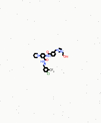 O=C(Nc1ccc(N2CCCCC2)cc1C(=O)N/N=C/c1ccc(Cl)c(C(F)(F)F)c1)c1cccc(Cn2cc[n+](CCO)c2)c1